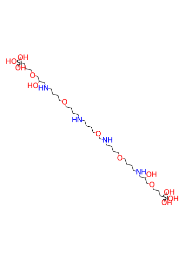 OC(CNCCCCOCCCCNCCCCOCNCCCCOCCCCNCC(O)COCCC[Si](O)(O)O)COCCC[Si](O)(O)O